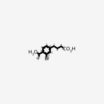 CC(F)c1ccc(CCCC(=O)O)cc1Br